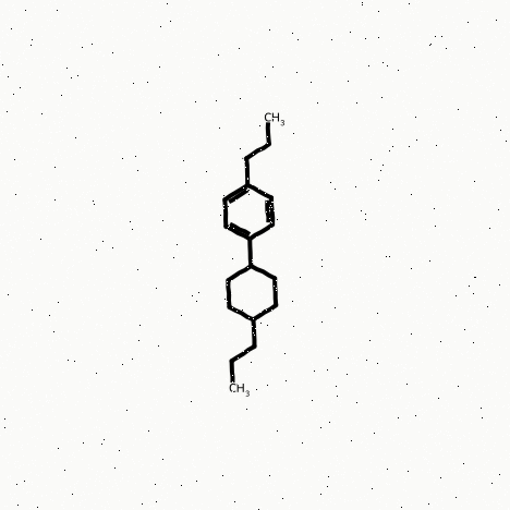 CC[CH]c1ccc(C2CCC(CCC)CC2)cc1